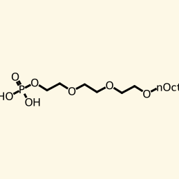 CCCCCCCCOCCOCCOCCOP(=O)(O)O